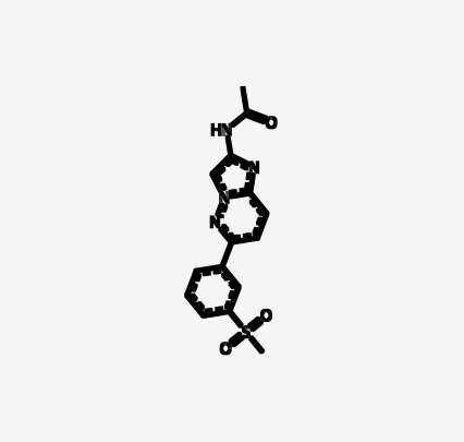 CC(=O)Nc1cn2nc(-c3cccc(S(C)(=O)=O)c3)ccc2n1